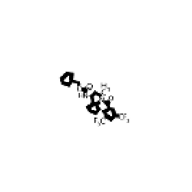 C[C@H]1C[C@@H](NC(=O)OCc2ccccc2)c2ccccc2N1C(=O)c1cc(C(F)(F)F)cc(C(F)(F)F)c1